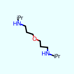 CC(C)NCCCOCCCNC(C)C